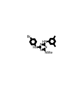 CNc1nc(Nc2ccc(Br)cc2)nc(Nc2cc(C)cc(C)c2)n1